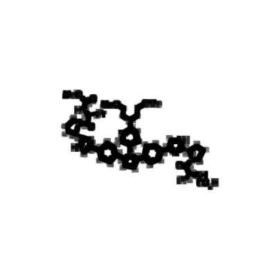 COCCN(CCOC)c1ccc(-n2c(-c3ccc(-c4c[nH]c([C@@H]5CCCN5C(=O)[C@@H](NC(=O)O)C(C)C)n4)cc3)ccc2-c2ccc(-c3c[nH]c([C@@H]4CCCN4C(=O)[C@@H](NC(=O)OC)C(C)C)n3)cc2)cn1